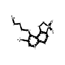 Nc1cnc2ccc3c(c2c1NCCCO)CCS3(=O)=O